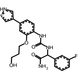 NC(=O)C(NC(=O)Nc1ccc(-c2cn[nH]c2)cc1OCCCO)c1cccc(F)c1